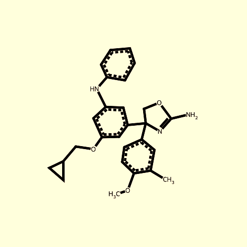 COc1ccc(C2(c3cc(Nc4ccccc4)cc(OCC4CC4)c3)COC(N)=N2)cc1C